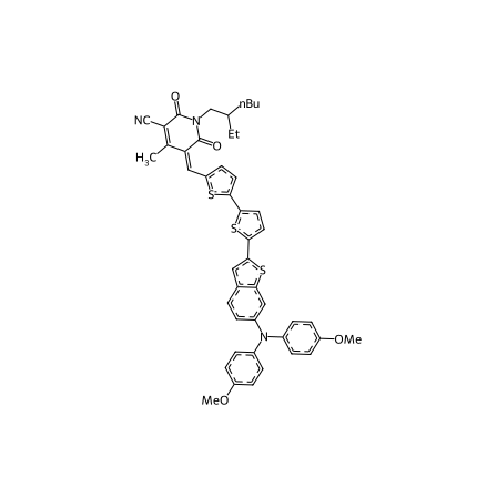 CCCCC(CC)CN1C(=O)C(=Cc2ccc(-c3ccc(-c4cc5ccc(N(c6ccc(OC)cc6)c6ccc(OC)cc6)cc5s4)s3)s2)C(C)=C(C#N)C1=O